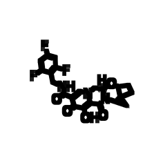 O=C(NCc1c(F)cc(F)cc1F)c1cn2c(c(O)c1=O)C(=O)N1C3CC34CCC4O[C@@H]1C2